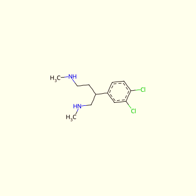 CNCCC(CNC)c1ccc(Cl)c(Cl)c1